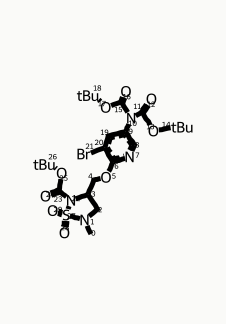 CN1CC(COc2ncc(N(C(=O)OC(C)(C)C)C(=O)OC(C)(C)C)cc2Br)N(C(=O)OC(C)(C)C)S1(=O)=O